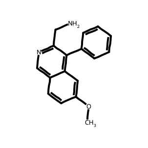 COc1ccc2cnc(CN)c(-c3ccccc3)c2c1